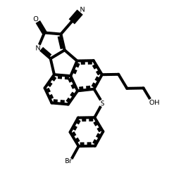 N#CC1=C2C(=NC1=O)c1cccc3c(Sc4ccc(Br)cc4)c(CCCO)cc2c13